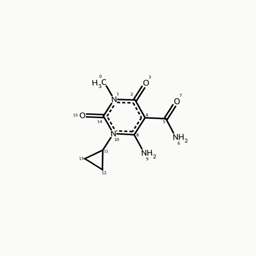 Cn1c(=O)c(C(N)=O)c(N)n(C2CC2)c1=O